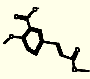 COC(=O)/C=C/c1ccc(OC)c([N+](=O)[O-])c1